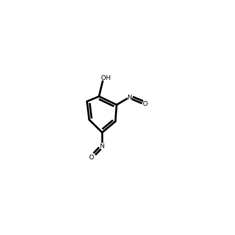 O=Nc1ccc(O)c(N=O)c1